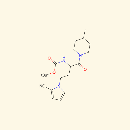 CC1CCN(C(=O)C(CCn2cccc2C#N)NC(=O)OC(C)(C)C)CC1